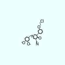 COc1ccc(Cn2cc(C#N)c(=O)c(-c3cccc(OCCCl)c3)c2)cc1OC